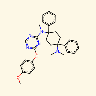 COc1ccc(Oc2ncnc(N(C)C3(c4ccccc4)CCC(c4ccccc4)(N(C)C)CC3)n2)cc1